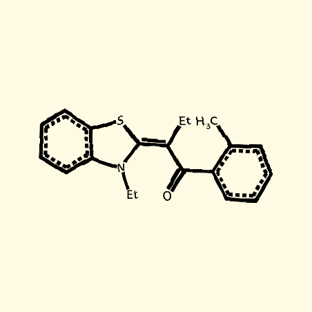 CC/C(C(=O)c1ccccc1C)=C1\Sc2ccccc2N1CC